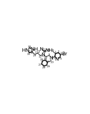 Cc1cc(Br)cnc1N(CCN(CCCc1c[nH]cn1)C(=N)N)Cc1ccccc1